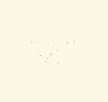 CN1CCN(c2ccc(OC(N)=O)cc2Nc2cc(NC3CC3)c3ncc(C#N)n3n2)CC1